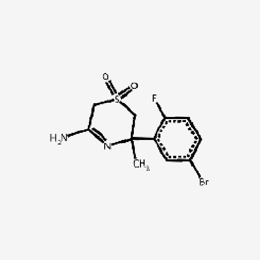 CC1(c2cc(Br)ccc2F)CS(=O)(=O)CC(N)=N1